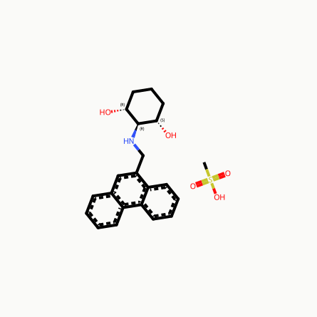 CS(=O)(=O)O.O[C@@H]1CCC[C@H](O)[C@H]1NCc1cc2ccccc2c2ccccc12